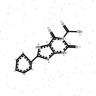 O=C(O)n1c(=O)[nH]c2nc(-c3ccccc3)[nH]c2c1=O